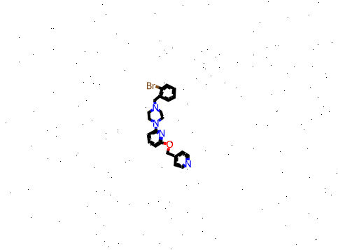 Brc1ccccc1CN1CCN(c2cccc(OCc3ccncc3)n2)CC1